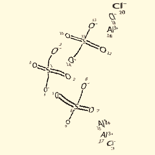 O=S(=O)([O-])[O-].O=S(=O)([O-])[O-].O=S(=O)([O-])[O-].[Al+3].[Al+3].[Al+3].[Cl-].[Cl-].[Cl-]